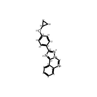 c1ccc2c(c1)ncn1nc(-c3ccc(OC4CC4)cc3)nc21